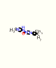 Cc1ccc(N2CCN(C(=O)NC3CCN(C)CC3)CC2)cc1C